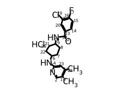 Cc1cnc(NC2CCC(NC(=O)c3ccc(F)c(Cl)c3)CC2)cc1C.Cl